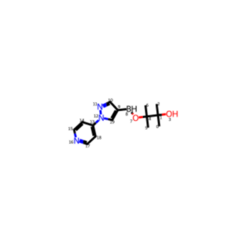 CC(C)(O)C(C)(C)OBc1cnn(-c2ccncc2)c1